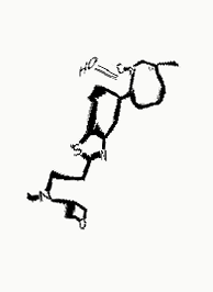 C[C@H]1CC=C(c2ccc3sc(CCN(C)C4COC4)nc3c2)N(C(=O)O)C1